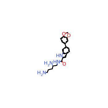 NCCC[C@@H](N)CNC(=O)c1cc2ccc(-c3ccc4c(c3)OCO4)cc2[nH]1